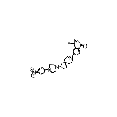 O=c1[nH]nc(F)c2cc(N3CCC4(CCC(N5CCN(c6ccc([N+](=O)[O-])cc6)CC5)C4)CC3)ccc12